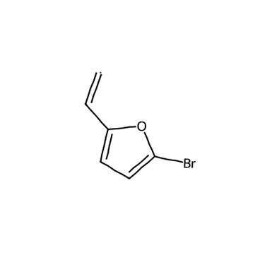 [CH]=Cc1ccc(Br)o1